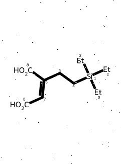 CC[Si](CC)(CC)CCC(=CC(=O)O)C(=O)O